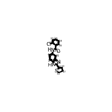 O=C(Nc1ccc2[nH]c(C3=CCCS3)nc2c1)c1ccccc1Cl